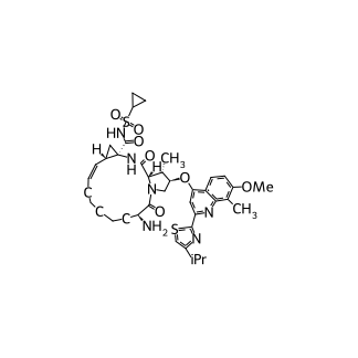 COc1ccc2c(O[C@H]3CN4C(=O)[C@@H](N)CCCCC/C=C\[C@@H]5C[C@@]5(C(=O)NS(=O)(=O)C5CC5)NC(=O)[C@@H]4[C@@H]3C)cc(-c3nc(C(C)C)cs3)nc2c1C